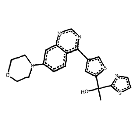 CC(O)(c1cc(-c2ncnc3cc(N4CCOCC4)ccc23)cs1)c1nccs1